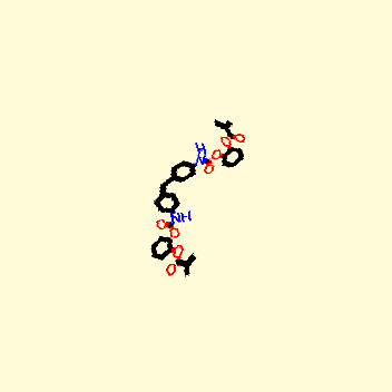 C=C(C)C(=O)OC1CCCCC1OC(=O)NC1CCC(CC2CCC(NC(=O)OC3CCCCC3OC(=O)C(=C)C)CC2)CC1